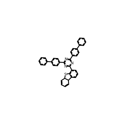 C1=CC2Sc3c(-c4nc(-c5ccc(-c6ccccc6)cc5)nc(-c5ccc(-c6ccccc6)cc5)n4)cccc3C2C=C1